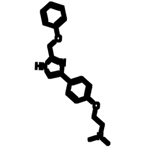 CN(C)CCOc1ccc(-c2c[nH]c(COc3ccccc3)n2)cc1